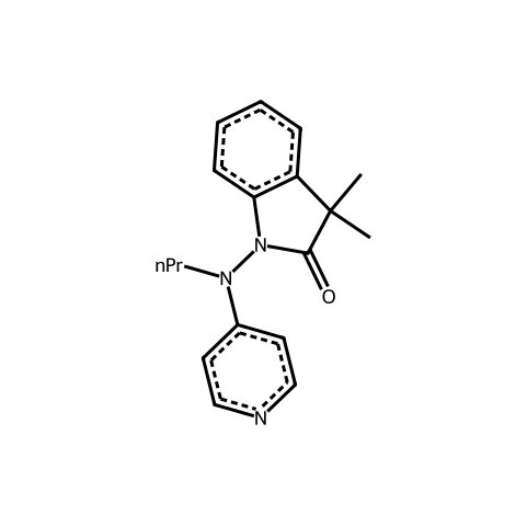 CCCN(c1ccncc1)N1C(=O)C(C)(C)c2ccccc21